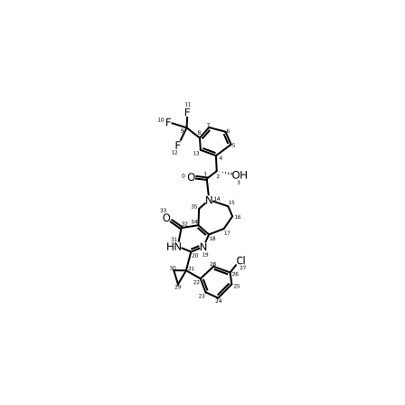 O=C([C@@H](O)c1cccc(C(F)(F)F)c1)N1CCCc2nc(C3(c4cccc(Cl)c4)CC3)[nH]c(=O)c2C1